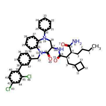 CCCC[C@H](C(N)=O)[C@@H](CC1CCC1)C(=O)NC1CN(c2ccccc2)c2ccccc2N(Cc2cccc(-c3ccc(Cl)cc3Cl)c2)C1=O